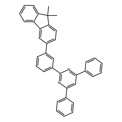 CC1(C)c2ccccc2-c2cc(-c3cccc(-c4nc(-c5ccccc5)cc(-c5ccccc5)n4)c3)ccc21